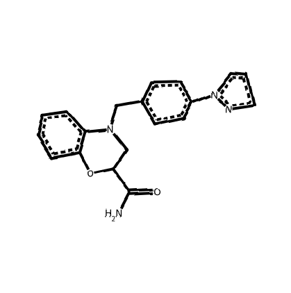 NC(=O)C1CN(Cc2ccc(-n3cccn3)cc2)c2ccccc2O1